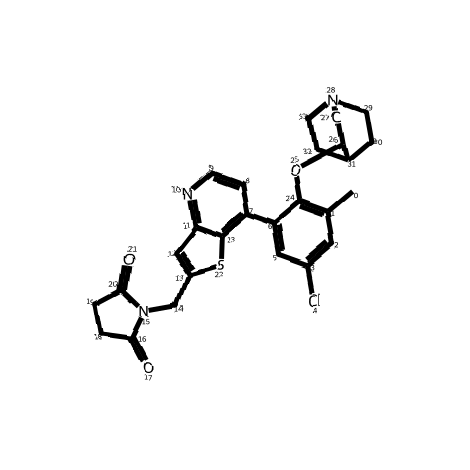 Cc1cc(Cl)cc(-c2ccnc3cc(CN4C(=O)CCC4=O)sc23)c1OC1CN2CCC1CC2